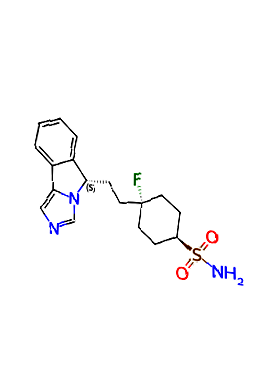 NS(=O)(=O)[C@H]1CC[C@@](F)(CC[C@H]2c3ccccc3-c3cncn32)CC1